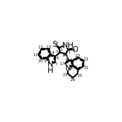 O=C1NC(=S)C(c2c[nH]c3ccccc23)[C@@H]1c1cn2c3c(cccc13)CCC2